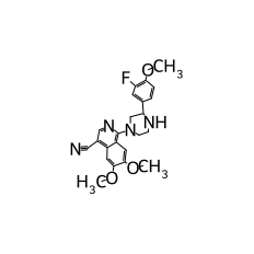 COc1ccc(C2CN(c3ncc(C#N)c4cc(OC)c(OC)cc34)CCN2)cc1F